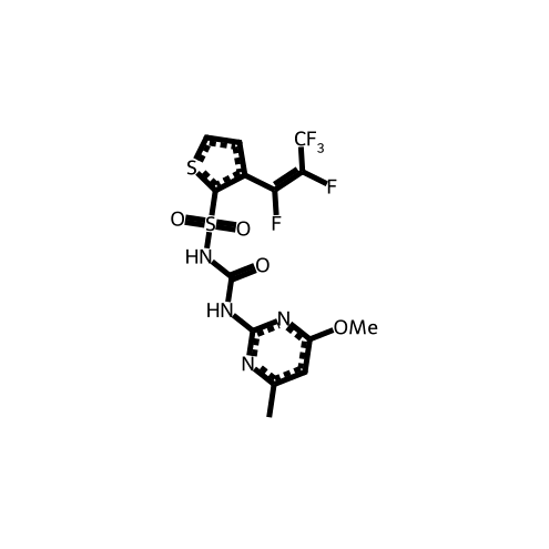 COc1cc(C)nc(NC(=O)NS(=O)(=O)c2sccc2/C(F)=C(/F)C(F)(F)F)n1